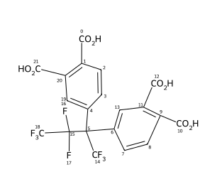 O=C(O)c1ccc(C(c2ccc(C(=O)O)c(C(=O)O)c2)(C(F)(F)F)C(F)(F)C(F)(F)F)cc1C(=O)O